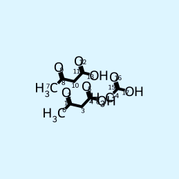 CC(=O)CC(=O)O.CC(=O)CC(=O)O.CC(=O)O